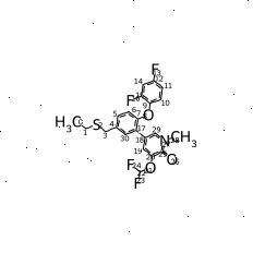 CCSCc1ccc(Oc2ccc(F)cc2F)c(-c2cc(OC(F)F)c(=O)n(C)c2)c1